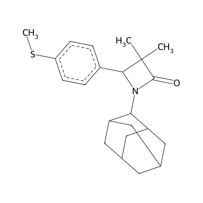 CSc1ccc(C2N(C3C4CC5CC(C4)CC3C5)C(=O)C2(C)C)cc1